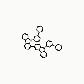 C1=CCC(C2=CC=CC(N3C4C=CC=CC4C4C=CC=C(C5=CC6C7C=CC=CC7N(C7C=C(C8C=CCCC8)C=CC7)C6C=C5)C43)C2)C=C1